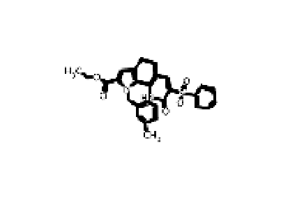 CCOC(=O)c1cc2c(n1Cc1cccc(C)c1)-c1[nH]c(=O)c(S(=O)(=O)c3ccccc3)cc1CC2